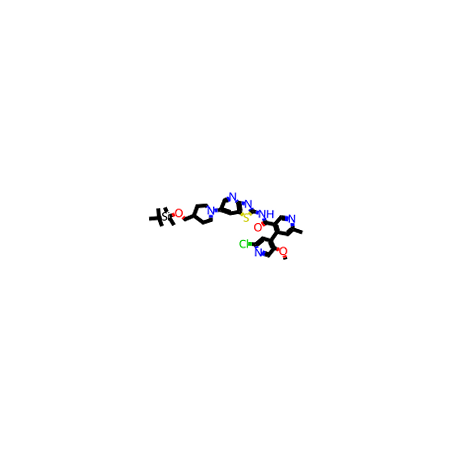 COc1cnc(Cl)cc1-c1cc(C)ncc1C(=O)Nc1nc2ncc(N3CCC(CO[Si](C)(C)C(C)(C)C)CC3)cc2s1